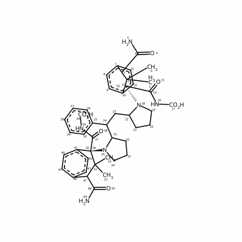 CC1(C)C(C(N)=O)c2ccc(cc2)[C@@]1(C(=O)NC(=O)O)N1CCCC1CC(c1ccccc1)C1CCCN1[C@]1(C(=O)NC(=O)O)c2ccc(cc2)C(C(N)=O)C1(C)C